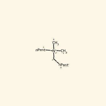 CCCCCC[N+](C)(C)CCCCC